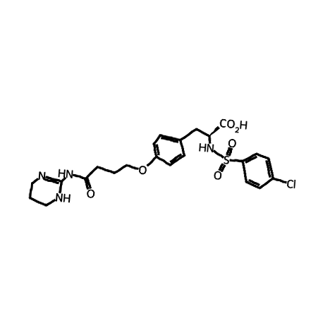 O=C(CCCOc1ccc(C[C@H](NS(=O)(=O)c2ccc(Cl)cc2)C(=O)O)cc1)NC1=NCCCN1